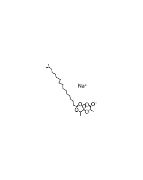 CC(C)CCCCCCCCCCCCCCC(=O)OC(C)C(=O)OC(C)C(=O)[O-].[Na+]